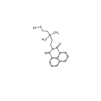 CCSCC[N+](C)(C)CCN1C(=O)c2cccc3cccc(c23)C1=O